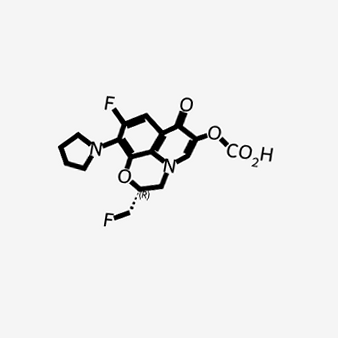 O=C(O)Oc1cn2c3c(c(N4CCCC4)c(F)cc3c1=O)O[C@@H](CF)C2